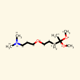 COC(C)(OC)[SiH2]CCOCCCN(C)C